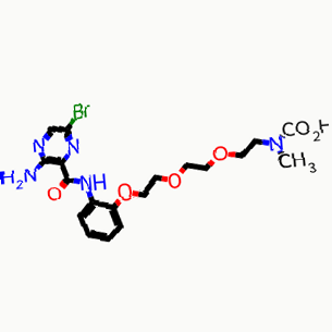 CN(CCOCCOCCOc1ccccc1NC(=O)c1nc(Br)cnc1N)C(=O)O